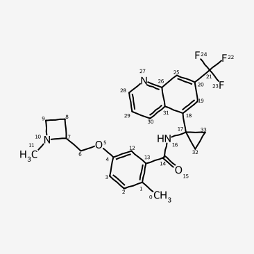 Cc1ccc(OCC2CCN2C)cc1C(=O)NC1(c2cc(C(F)(F)F)cc3ncccc23)CC1